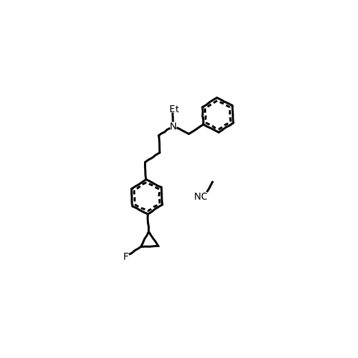 CC#N.CCN(CCCc1ccc(C2CC2F)cc1)Cc1ccccc1